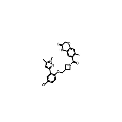 Cc1cc(-c2cc(Cl)ccc2OCC2CN(C(=O)c3cc4c(cc3F)OCC(=O)N4)C2)nn1C